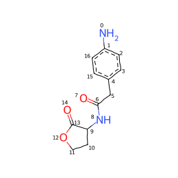 Nc1ccc(CC(=O)NC2CCOC2=O)cc1